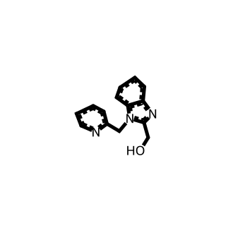 OCc1nc2ccccc2n1Cc1ccccn1